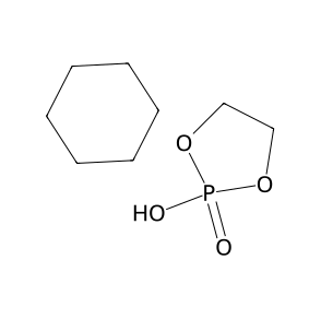 C1CCCCC1.O=P1(O)OCCO1